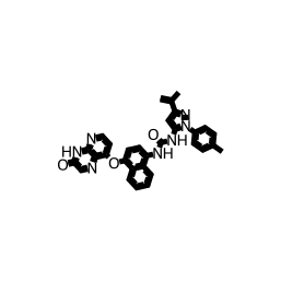 C=C(C)c1cc(NC(=O)Nc2ccc(Oc3ccnc4[nH]c(=O)cnc34)c3ccccc23)n(-c2ccc(C)cc2)n1